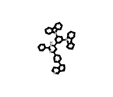 C1=C(c2ccc(-c3cccc4cnccc34)cc2)N=C(c2ccccc2)NC1c1cc(-n2c3ccccc3c3ccccc32)cc(-n2c3ccccc3c3ccccc32)c1